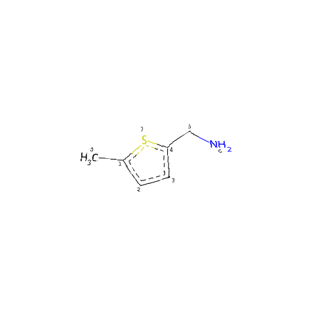 Cc1ccc(CN)s1